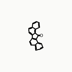 O=C1c2c(ccc3ccccc23)-c2ccc3ccccc3c21